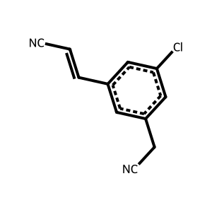 N#C/C=C/c1cc(Cl)cc(CC#N)c1